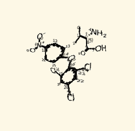 CC(C)[C@H](N)C(=O)O.O=[N+]([O-])c1ccc(Oc2c(Cl)cc(Cl)cc2Cl)cc1